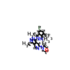 CC[C@@H]1COCCN1c1cc2c(N[C@H](C)c3cc(F)cc(C(F)(F)F)c3C)nnc(C)c2cn1